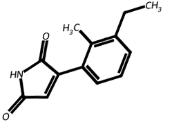 CCc1cccc(C2=CC(=O)NC2=O)c1C